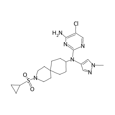 Cn1cc(N(c2ncc(Cl)c(N)n2)C2CCC3(CC2)CCN(S(=O)(=O)C2CC2)CC3)cn1